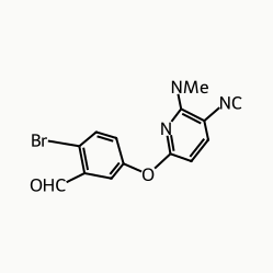 [C-]#[N+]c1ccc(Oc2ccc(Br)c(C=O)c2)nc1NC